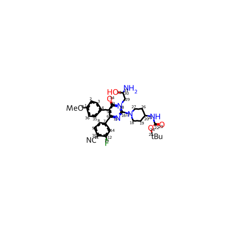 COc1ccc(-c2c(-c3ccc(C#N)c(F)c3)nc(N3CCC(NC(=O)OC(C)(C)C)CC3)n(CC(N)O)c2=O)cc1